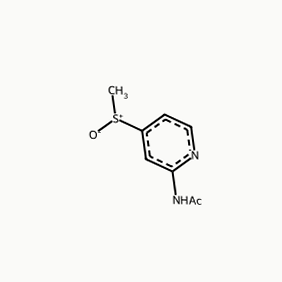 CC(=O)Nc1cc([S+](C)[O-])ccn1